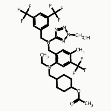 CCN(CC1CCC(OC(C)=O)CC1)c1cc(C(F)(F)F)c(C)cc1CN(Cc1cc(C(F)(F)F)cc(C(F)(F)F)c1)c1nnn(C)n1.Cl